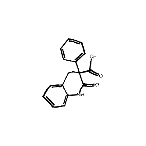 O=C(O)C1(c2ccccc2)Cc2ccccc2NC1=O